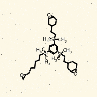 C[Si](C)(CCCCCCC1CO1)c1cc([Si](C)(C)CCC2CCC3OC3C2)cc([Si](C)(C)CCC2CCC3OC3C2)c1